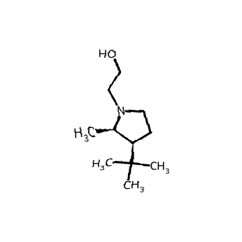 C[C@@H]1[C@H](C(C)(C)C)CCN1CCO